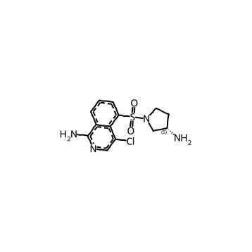 Nc1ncc(Cl)c2c(S(=O)(=O)N3CC[C@H](N)C3)cccc12